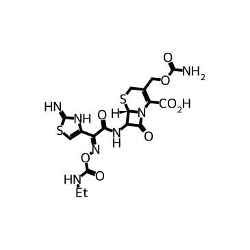 CCNC(=O)ON=C(C(=O)NC1C(=O)N2C(C(=O)O)=C(COC(N)=O)CS[C@@H]12)c1csc(=N)[nH]1